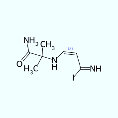 CC(C)(N/C=C\C(=N)I)C(N)=O